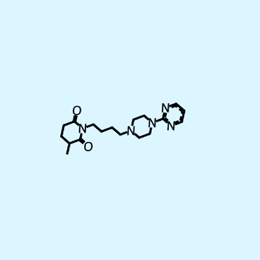 CC1CCC(=O)N(CCCCN2CCN(c3ncccn3)CC2)C1=O